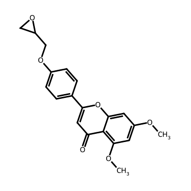 COc1cc(OC)c2c(=O)cc(-c3ccc(OCC4CO4)cc3)oc2c1